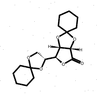 O=C1O[C@@H]([C@H]2COC3(CCCCC3)O2)[C@@H]2OC3(CCCCC3)O[C@H]12